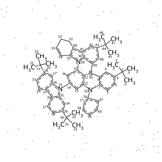 CC(C)(C)c1ccc2c(c1)B1c3c(cc(-n4c5cc(C(C)(C)C)ccc5c5ccc(C(C)(C)C)cc54)cc3-n3c4c(c5cc(C(C)(C)C)cc1c53)CCC=C4)N2c1ccccc1